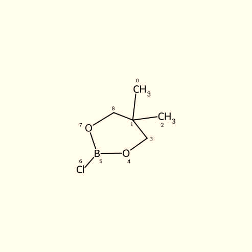 CC1(C)COB(Cl)OC1